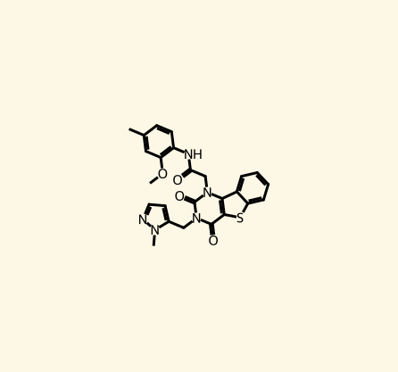 COc1cc(C)ccc1NC(=O)Cn1c(=O)n(Cc2ccnn2C)c(=O)c2sc3ccccc3c21